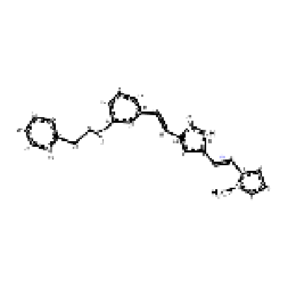 Cn1cccc1/C=C/c1cc(C=Cc2cccc(OCCc3ccccn3)c2)n[nH]1